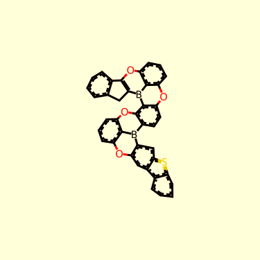 c1ccc2c(c1)CC1=C2Oc2cccc3c2B1c1c(ccc2c1Oc1cccc4c1B2c1cc2sc5ccccc5c2cc1O4)O3